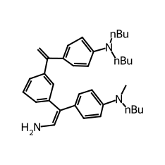 C=C(c1ccc(N(CCCC)CCCC)cc1)c1cccc(/C(=C\N)c2ccc(N(C)CCCC)cc2)c1